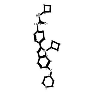 O=C(Nc1ccc(-c2cc3ccc(OC4CCOCC4)cc3n2C2CCC2)cc1)NC1CCC1